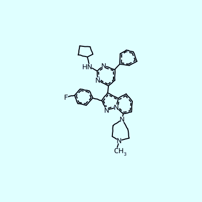 CN1CCN(c2cccc3c(-c4cc(-c5ccccc5)nc(NC5CCCC5)n4)c(-c4ccc(F)cc4)nn23)CC1